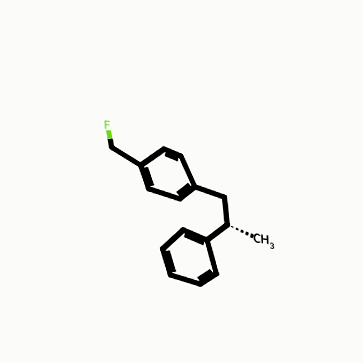 C[C@@H](Cc1ccc(CF)cc1)c1ccccc1